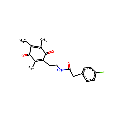 CC1=C(C)C(=O)C(CCNC(=O)Cc2ccc(F)cc2)=C(C)C1=O